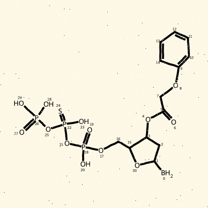 BC1CC(OC(=O)COc2ccccc2)C(COP(=O)(O)OP(O)(=S)OP(=O)(O)O)O1